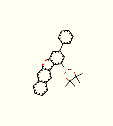 CC1(C)OB(c2cc(-c3ccccc3)cc3oc4cc5ccccc5cc4c23)OC1(C)C